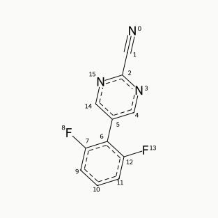 N#Cc1ncc(-c2c(F)cccc2F)cn1